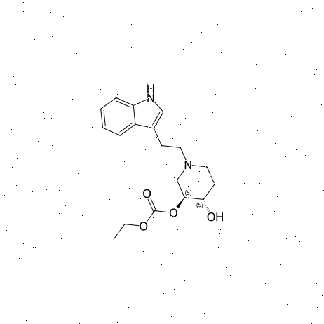 CCOC(=O)O[C@H]1CN(CCc2c[nH]c3ccccc23)CC[C@@H]1O